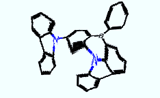 c1ccc(B2c3ccc(-n4c5ccccc5c5ccccc54)cc3-n3c4ccccc4c4cccc2c43)cc1